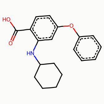 O=C(O)c1ccc(Oc2ccccc2)cc1NC1CCCCC1